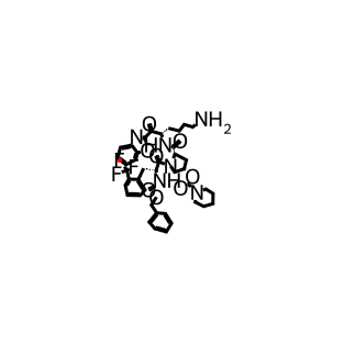 NCCCC[C@H](NC(=O)[C@@H]1C[C@@H](OC(=O)N2CCCCC2)CN1C(=O)[C@@H](Cc1ccccc1C(F)(F)F)NC(=O)OCc1ccccc1)C(=O)c1nc2ccccc2o1